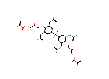 C=C(C)Cc1cc(C(C)(C)c2cc(CC(=C)C)c(OCC(O)COC(=O)C(=C)C)c(CC(=C)C)c2)cc(CC(=C)C)c1OCC(O)COC(=O)C(=C)C